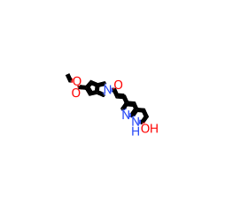 CCOC(=O)C1=CC2CN(C(=O)/C=C/c3cnc4c(c3)CCC(O)N4)CC2C1